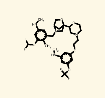 CNc1cc(OCCN2CCOC(C34CC(CO3)N(Cc3cc(NC)cc(OC(F)F)c3C)C4)C2)cc(OC(F)(F)F)c1